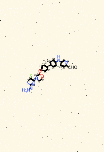 NNc1ncc(F)c(N2CCOC(Oc3ccc(-c4ccc(Nc5ccc(C=O)nc5)cc4C(F)(F)F)cc3)C2)n1